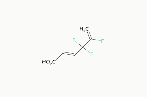 C=C(F)C(F)(F)C=CC(=O)O